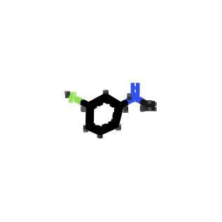 [CH2]CNc1cccc(F)c1